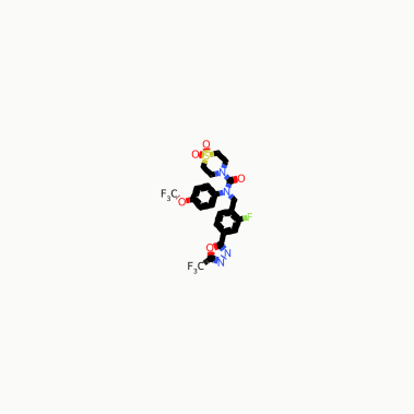 O=C(N1CCS(=O)(=O)CC1)N(Cc1ccc(-c2nnc(C(F)(F)F)o2)cc1F)c1ccc(OC(F)(F)F)cc1